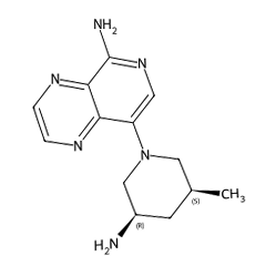 C[C@H]1C[C@@H](N)CN(c2cnc(N)c3nccnc23)C1